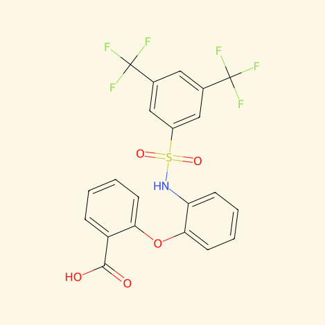 O=C(O)c1ccccc1Oc1ccccc1NS(=O)(=O)c1cc(C(F)(F)F)cc(C(F)(F)F)c1